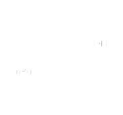 CCCCC=CCCCC=CO